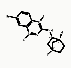 [O-][n+]1nc(N[C@@H]2C[C@H]3CC[C@@H]2C3)[n+]([O-])c2ccc(Br)cc21